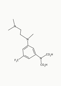 CN(C)CCN(C)c1cc(N(C(=O)O)C(=O)O)cc(C(F)(F)F)c1